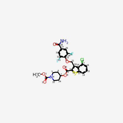 COC(=O)N1CCC(OC(=O)c2sc3cccc(Cl)c3c2COc2c(F)cc(C(N)=O)cc2F)CC1